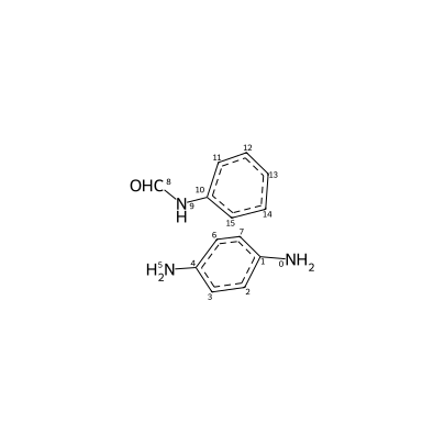 Nc1ccc(N)cc1.O=CNc1ccccc1